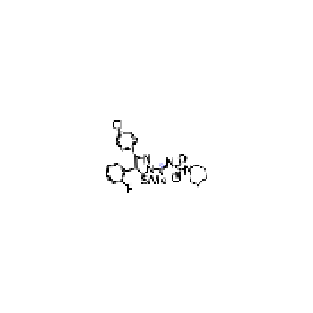 CS/C(=N\S(=O)(=O)N1CCCCC1)N1CC(c2ccccc2F)C(c2ccc(Cl)cc2)=N1